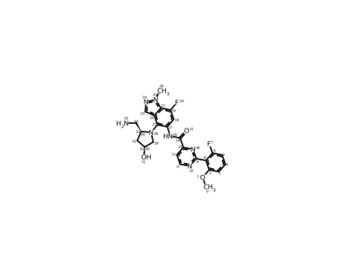 COc1cccc(F)c1-c1nccc(C(=O)Nc2cc(F)c3c(cnn3C)c2N2C[C@@H](O)C[C@H]2CN)n1